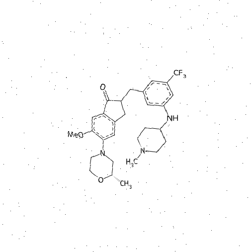 COc1cc2c(cc1N1CCO[C@@H](C)C1)CC(Cc1cc(NC3CCN(C)CC3)cc(C(F)(F)F)c1)C2=O